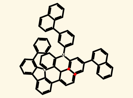 C1=CCC(C2=C(N(c3cccc(-c4cccc5ccccc45)c3)c3cccc(-c4cccc5ccccc45)c3)CCC=C2)C(c2cccc3c2oc2c(-c4ccccc4)cccc23)=C1